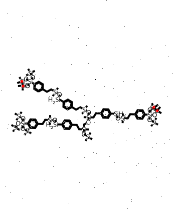 C[Si](C)(C)O[Si](C)(CCc1ccc([SiH2]O[Si](C)(C)CCc2ccc([Si](O[Si](C)(C)C)(O[Si](C)(C)C)O[Si](C)(C)C)cc2)cc1)CO[Si](C)(CCc1ccc([SiH2]O[Si](C)(C)CCc2ccc([Si](O[Si](C)(C)C)(O[Si](C)(C)C)O[Si](C)(C)C)cc2)cc1)O[Si](C)(C)CCc1ccc([SiH2]O[Si](C)(C)CCc2ccc([Si](O[Si](C)(C)C)(O[Si](C)(C)C)O[Si](C)(C)C)cc2)cc1